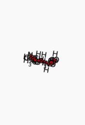 CC1(C)[C@H](NC(=O)c2ccc(NCCCCNc3ccc4c(c3)C(=O)N(C3CCC(=O)NC3=O)C4=O)cc2)C(C)(C)[C@H]1Oc1ccc(C#N)c(Cl)c1